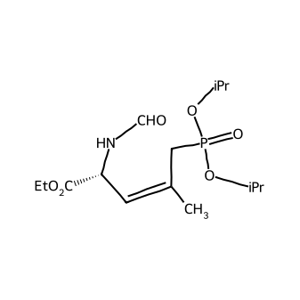 CCOC(=O)[C@@H](C=C(C)CP(=O)(OC(C)C)OC(C)C)NC=O